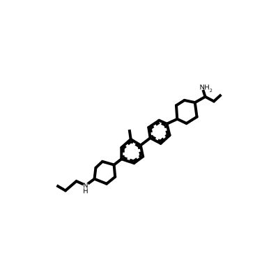 CCCNC1CCC(c2ccc(-c3ccc(C4CCC(C(N)CC)CC4)cc3)c(C)c2)CC1